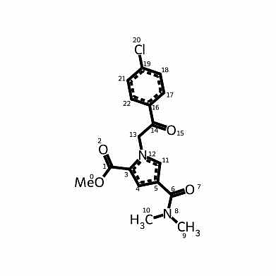 COC(=O)c1cc(C(=O)N(C)C)cn1CC(=O)c1ccc(Cl)cc1